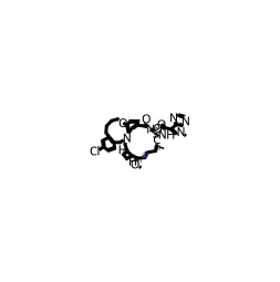 CO[C@H]1/C=C/C[C@H](C)CS(=O)(NC(=O)c2cn(C)c3nccnc23)=NC(=O)c2ccc3c(c2)N(Cc2ccc(Cl)cc2CCCCO3)C[C@@H]2CC[C@H]21